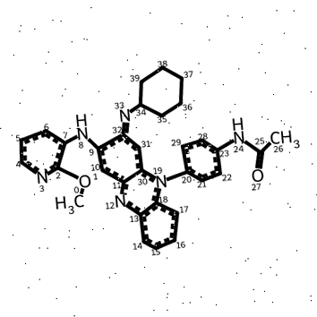 COc1ncccc1Nc1cc2nc3ccccc3n(-c3ccc(NC(C)=O)cc3)c-2c/c1=N\C1CCCCC1